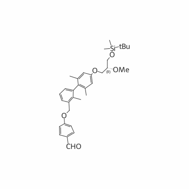 CO[C@H](COc1cc(C)c(-c2cccc(COc3ccc(C=O)cc3)c2C)c(C)c1)CO[Si](C)(C)C(C)(C)C